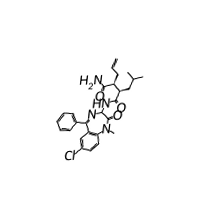 C=CC[C@H](C(N)=O)[C@@H](CC(C)C)C(=O)NC1N=C(c2ccccc2)c2cc(Cl)ccc2N(C)C1=O